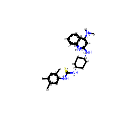 Cc1cc(C)c(NC(=S)N[C@H]2CC[C@@H](Nc3cc(N(C)C)c4ccccc4n3)CC2)cc1C